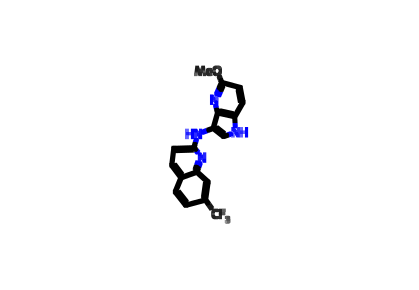 COc1ccc2[nH]cc(Nc3ccc4ccc(C(F)(F)F)cc4n3)c2n1